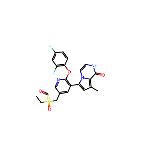 CC[SH](=O)(C=O)Cc1cnc(Oc2ccc(F)cc2F)c(-c2cc(C)c3c(=O)[nH]ccn23)c1